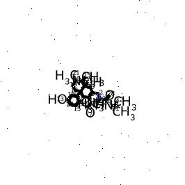 C/C(=C\C1=C(NC=O)CC2(c3cc(O)ccc3C)CCN(C)C(C)C2(O)C1)C(=O)NC(C)C